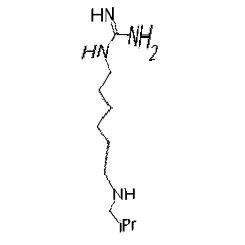 CC(C)CNCCCCCCNC(=N)N